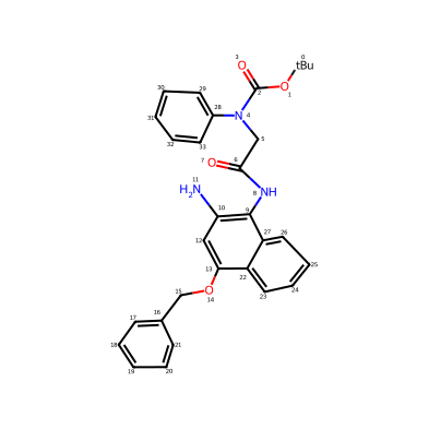 CC(C)(C)OC(=O)N(CC(=O)Nc1c(N)cc(OCc2ccccc2)c2ccccc12)c1ccccc1